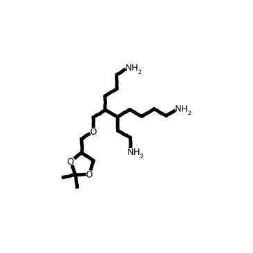 CC1(C)OCC(COCC(CCCN)C(CCN)CCCCN)O1